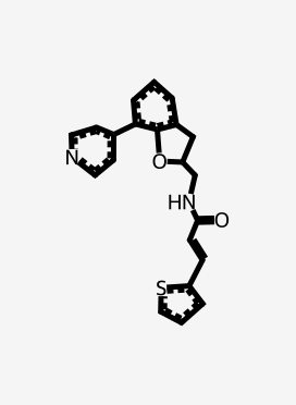 O=C(C=Cc1cccs1)NCC1Cc2cccc(-c3ccncc3)c2O1